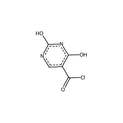 O=C(Cl)c1cnc(O)nc1O